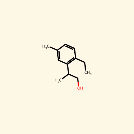 [CH2]C(CO)c1cc(C)ccc1CC